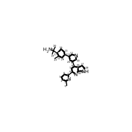 Cc1cccc(-c2cc(-c3cncc(-c4ccc(C(C)(C)N)c(C)c4)c3)c3cc[nH]c3n2)n1